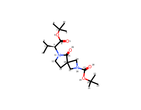 CC(C)[C@@H](C(=O)OC(C)(C)C)N1CCC2(CN(C(=O)OC(C)(C)C)C2)C1=O